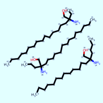 CCCCCCCCCCCCCC(N)(CO)CCCC.CCCCCCCCCCCCCCC(N)(CO)CCC.CCCCCCCCCCCCCCCC(N)(CC)CO